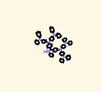 c1ccc(NC(c2ccc(N(c3ccc(N(c4ccccc4)c4ccccc4)cc3)c3ccc(N(c4ccccc4)c4ccccc4)cc3)cc2)c2ccc(N(c3ccc(N(c4ccccc4)c4ccccc4)cc3)c3ccc(N(c4ccccc4)c4ccccc4)cc3)cc2)cc1